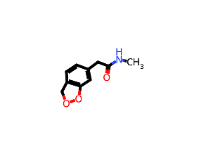 CNC(=O)Cc1ccc2c(c1)OOC2